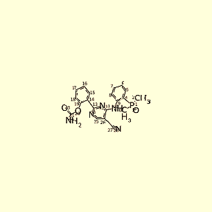 CP(C)(=O)c1ccccc1Nc1nc(-c2ccccc2OC(N)=O)ncc1C#N